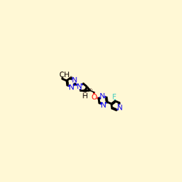 CCc1cnc(N2CC3[C@@H](COc4cnc(-c5ccncc5F)cn4)[C@@H]3C2)nc1